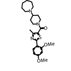 COc1ccc(-c2nc(C)c(C(=O)N3CCC(N4CCCCCC4)CC3)s2)c(OC)c1